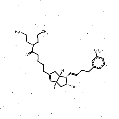 CCCN(CCC)C(=O)CCCCC1=C[C@H]2C[C@@H](O)[C@H](/C=C/CCc3cccc(C)c3)[C@H]2C1